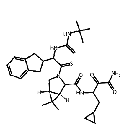 C=C(NC(C(=S)N1C[C@@H]2[C@@H](C1C(=O)NC(CC1CC1)C(=O)C(N)=O)C2(C)C)C1Cc2ccccc2C1)NC(C)(C)C